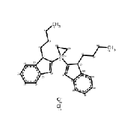 CCCCC1[C]([Zr+2]2([C]3=Cc4ccccc4C3CCCC)[CH2][CH2]2)=Cc2ccccc21.[Cl-].[Cl-]